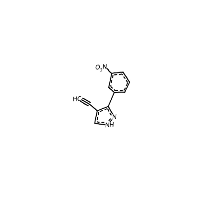 C#Cc1c[nH]nc1-c1cccc([N+](=O)[O-])c1